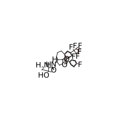 CC(C)(O)[C@@H](N)C(=O)N[C@@H]1CC[C@@]2(S(=O)(=O)c3ccc(F)cc3)c3ccc(C(F)(C(F)(F)F)C(F)(F)F)cc3CCC[C@@H]12